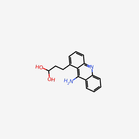 Nc1c2ccccc2nc2cccc(CCC(O)O)c12